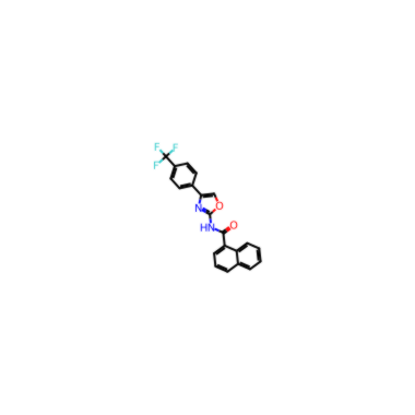 O=C(Nc1nc(-c2ccc(C(F)(F)F)cc2)co1)c1cccc2ccccc12